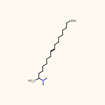 CCCCCCCCCCCCCCCCC/C=C/CCCCCCC(C(=O)O)N(C)C